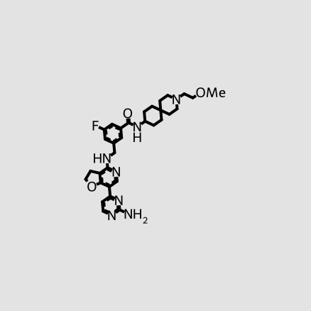 COCCN1CCC2(CCC(NC(=O)c3cc(F)cc(CNc4ncc(-c5ccnc(N)n5)c5c4CCO5)c3)CC2)CC1